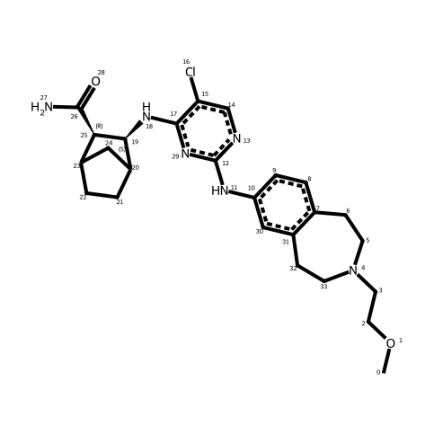 COCCN1CCc2ccc(Nc3ncc(Cl)c(N[C@H]4C5CCC(C5)[C@H]4C(N)=O)n3)cc2CC1